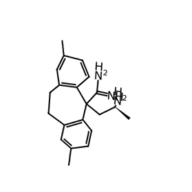 Cc1ccc2c(c1)CCc1cc(C)ccc1C2(C[C@H](C)N)C(=N)N